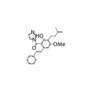 C=C(C)CCc1c(OC)cc(C=Cc2ccccc2)c(C(=O)n2ccnc2)c1O